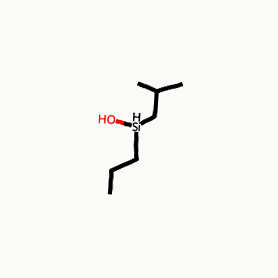 CCC[SiH](O)CC(C)C